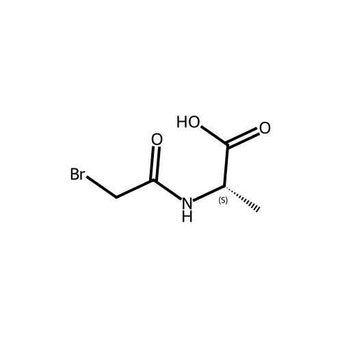 C[C@H](NC(=O)CBr)C(=O)O